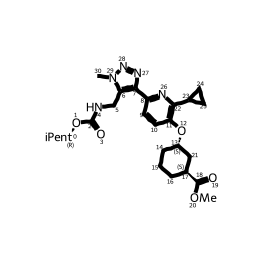 CCC[C@@H](C)OC(=O)NCc1c(-c2ccc(O[C@H]3CCC[C@H](C(=O)OC)C3)c(C3CC3)n2)nnn1C